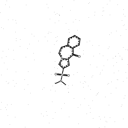 CN(C)S(=O)(=O)c1cc2c(=O)c3ccccc3ccn2c1